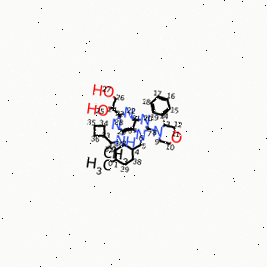 CC1CCC(Cn2c(N3CCOC[C@H]3c3ccccc3)nc3nc(C(O)CO)nc(N[C@H](C)C4CCC4)c32)CC1